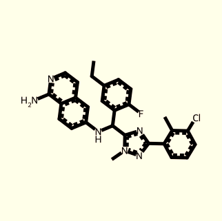 CCc1ccc(F)c(C(Nc2ccc3c(N)nccc3c2)c2nc(-c3cccc(Cl)c3C)nn2C)c1